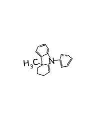 CC12CCCC=C1N(c1ccccc1)c1ccccc12